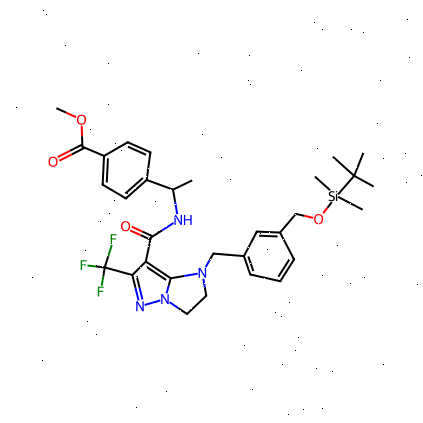 COC(=O)c1ccc(C(C)NC(=O)c2c(C(F)(F)F)nn3c2N(Cc2cccc(CO[Si](C)(C)C(C)(C)C)c2)CC3)cc1